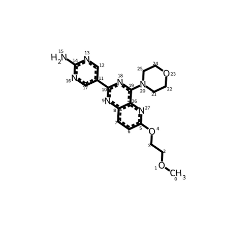 COCCOc1ccc2nc(-c3cnc(N)nc3)nc(N3CCOCC3)c2n1